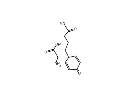 NCC(=O)O.O=C1C=CC(CCCC(=O)O)C=C1